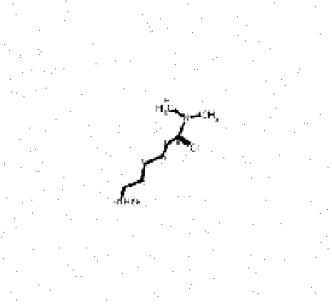 CCCCCCCCCCCC(=O)N(C)C